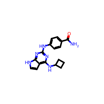 NC(=O)c1ccc(Nc2nc(NC3CCC3)c3cc[nH]c3n2)cc1